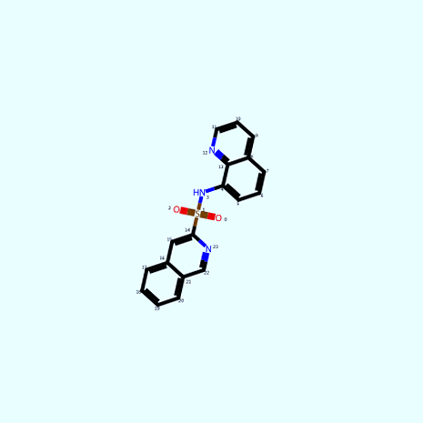 O=S(=O)(Nc1cccc2cccnc12)c1cc2ccccc2cn1